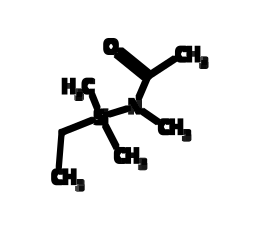 CC[Si](C)(C)N(C)C(C)=O